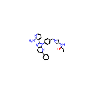 C=CC(=O)NC1CN(Cc2ccc(-n3c(-c4cccnc4N)nc4ccc(-c5ccccc5)nc43)cc2)C1